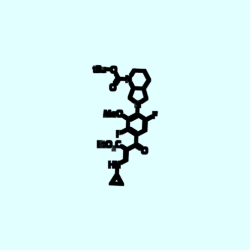 CCOC(=O)/C(=C\NC1CC1)C(=O)c1cc(F)c(N2CC3CCCN(C(=O)OC(C)(C)C)C3C2)c(OC)c1F